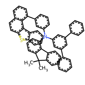 CC1(C)c2ccccc2-c2c(N(c3cc(-c4ccccc4)cc(-c4ccccc4)c3)c3cccc(-c4cccc5ccc6sc7ccccc7c6c45)c3)cccc21